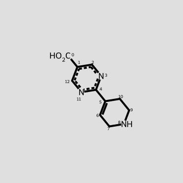 O=C(O)c1cnc(C2=CCNCC2)nc1